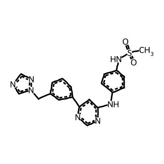 CS(=O)(=O)Nc1ccc(Nc2cc(-c3cccc(Cn4cncn4)c3)ncn2)cc1